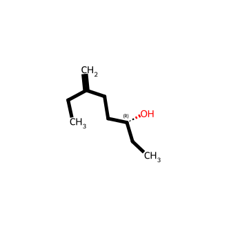 C=C(CC)CC[C@H](O)CC